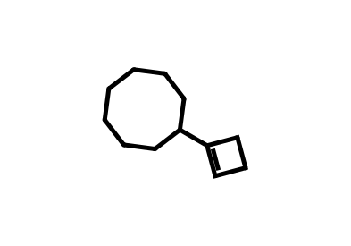 C1=C(C2CCCCCCC2)CC1